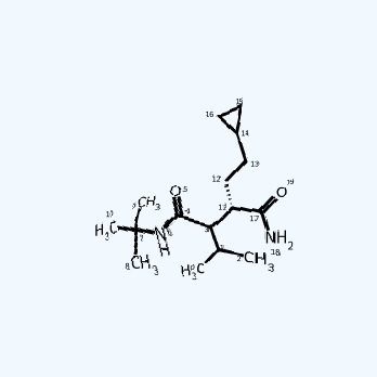 CC(C)C(C(=O)NC(C)(C)C)[C@H](CCC1CC1)C(N)=O